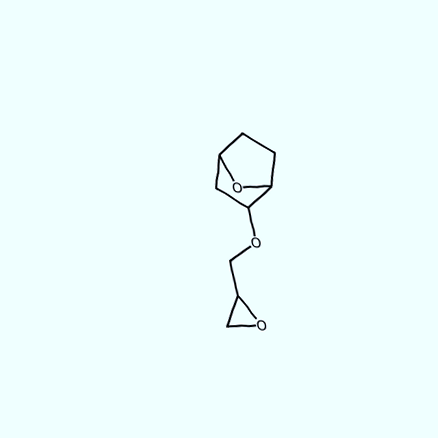 C1OC1COC1CC2CCC1O2